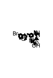 Cn1cc([C@@H]2C[C@H]2c2c(C(=O)O)cnn2-c2cccc(CN3Cc4cc(Br)ccc4OC(C)(C)C3)c2)nn1